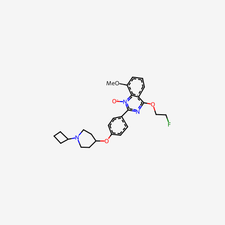 COc1cccc2c(OCCF)nc(-c3ccc(OC4CCN(C5CCC5)CC4)cc3)[n+]([O-])c12